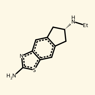 CCN[C@H]1Cc2cc3nc(N)sc3cc2C1